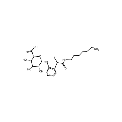 NCCCCCCNC(=O)C(F)c1ccccc1O[C@@H]1O[C@H](C(=O)O)[C@@H](O)[C@H](O)[C@H]1O